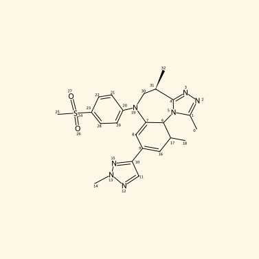 Cc1nnc2n1C1C(=CC(c3cnn(C)n3)=CC1C)N(c1ccc(S(C)(=O)=O)cc1)C[C@H]2C